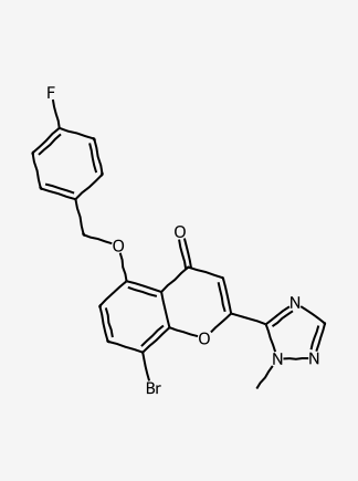 Cn1ncnc1-c1cc(=O)c2c(OCc3ccc(F)cc3)ccc(Br)c2o1